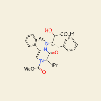 COC(=O)N1C=C(c2ccccc2)N(N(C(C)=O)[C@@H](Cc2ccccc2)C(O)C(=O)O)C(=O)C1C(C)C